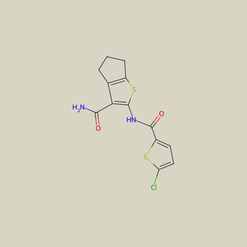 NC(=O)c1c(NC(=O)c2ccc(Cl)s2)sc2c1CCC2